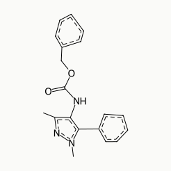 Cc1nn(C)c(-c2ccccc2)c1NC(=O)OCc1ccccc1